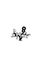 CCCC(NC(=O)C1C2C(CN1C(=O)[C@@H](NC(=O)NC(C)C)C1Cc3ccccc3C1)C2(C)C)C(=O)C(N)=O